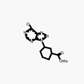 COC(=O)C1CCCC(n2nnc3c(Cl)ncnc32)C1